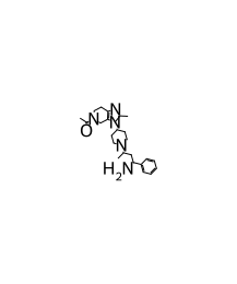 CC(=O)N1CCc2nc(C)n(C3CCN(C(C)C[C@H](N)c4ccccc4)CC3)c2C1